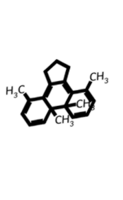 CC1=CC=CC2(C)C1=C1CCCC1=C1C(C)=CC=CC12C